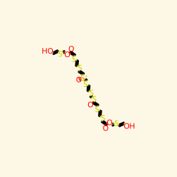 O=C(CSCCSCC[S+]([O-])CSCCSCSC(=O)CSCCSCC(=O)OCSCCO)OCSCCO